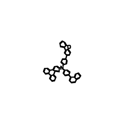 c1ccc2c(-c3ccc(N(c4ccc(-c5ccc6oc7ccccc7c6c5)cc4)c4ccc5c6ccccc6c6ccccc6c5c4)cc3)cccc2c1